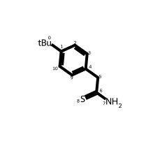 CC(C)(C)c1ccc(CC(N)=S)cc1